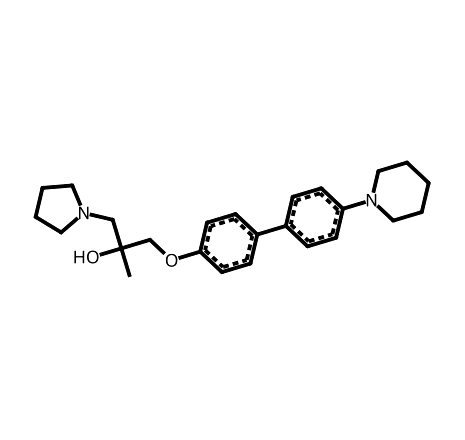 CC(O)(COc1ccc(-c2ccc(N3CCCCC3)cc2)cc1)CN1CCCC1